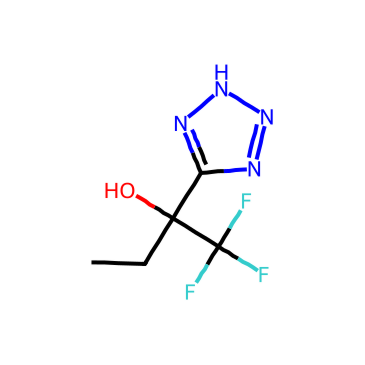 CCC(O)(c1nn[nH]n1)C(F)(F)F